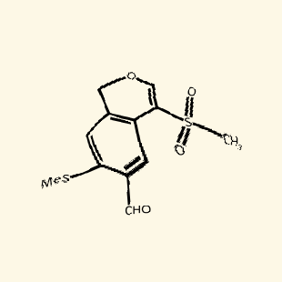 CSc1cc2c(cc1C=O)C(S(C)(=O)=O)=COC2